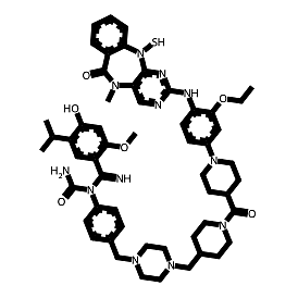 CCOc1cc(N2CCC(C(=O)N3CCC(CN4CCN(Cc5ccc(N(C(=N)c6cc(C(C)C)c(O)cc6OC)C(N)=O)cc5)CC4)CC3)CC2)ccc1Nc1ncc2c(n1)N(S)c1ccccc1C(=O)N2C